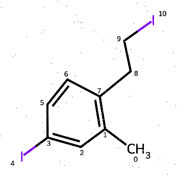 Cc1cc(I)ccc1CCI